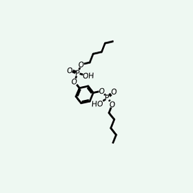 CCCCCOP(=O)(O)Oc1cccc(OP(=O)(O)OCCCCC)c1